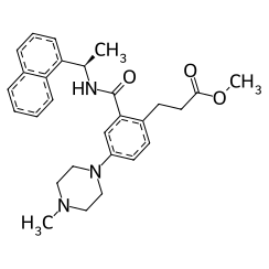 COC(=O)CCc1ccc(N2CCN(C)CC2)cc1C(=O)N[C@H](C)c1cccc2ccccc12